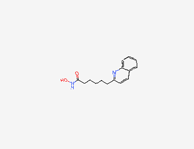 O=C(CCCCCc1ccc2ccccc2n1)NO